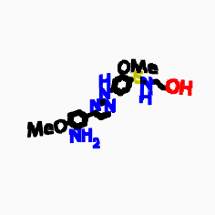 COc1ccc(-c2ccnc(Nc3ccc(SNCCO)c(OC)c3)n2)cc1N